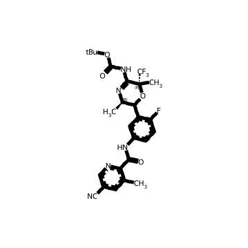 Cc1cc(C#N)cnc1C(=O)Nc1ccc(F)c(C2O[C@@](C)(C(F)(F)F)C(NC(=O)OC(C)(C)C)=N[C@@H]2C)c1